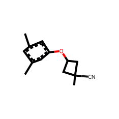 Cc1cc(C)cc(OC2CC(C)(C#N)C2)c1